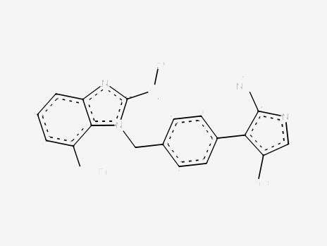 CCCc1c[nH]c(C#N)c1-c1ccc(Cn2c(OCC)nc3cccc(C(=O)OCC)c32)cc1